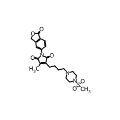 CC1=C(CCCCN2CCN(S(C)(=O)=O)CC2)C(=O)N(c2ccc3c(c2)COC3=O)C1=O